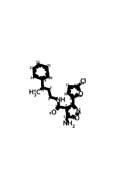 CC(CCNC(=O)c1c(-c2ccc(Cl)o2)noc1N)c1ccccc1